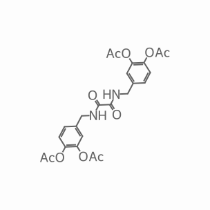 CC(=O)Oc1ccc(CNC(=O)C(=O)NCc2ccc(OC(C)=O)c(OC(C)=O)c2)cc1OC(C)=O